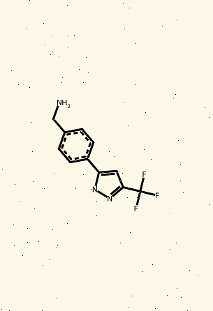 NCc1ccc(C2=[C]C(C(F)(F)F)=N[N]2)cc1